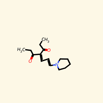 CCC(=O)C(=C/C=C/N1CCCCC1)C(=O)CC